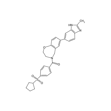 Cc1nc2ccc(-c3ccc4c(c3)CN(C(=O)c3ccc(S(=O)(=O)C5CCCC5)cc3)CCO4)cc2[nH]1